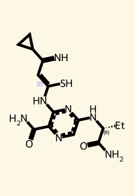 CC[C@@H](Nc1cnc(C(N)=O)c(N/C(S)=C/C(=N)C2CC2)n1)C(N)=O